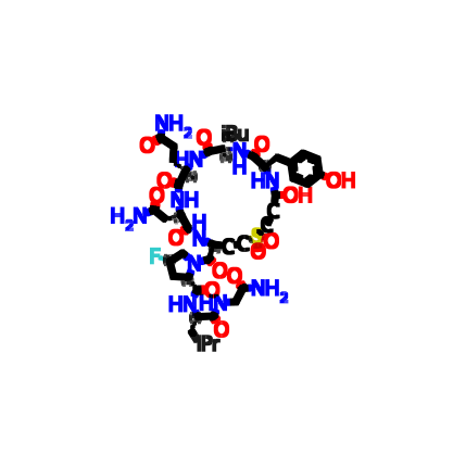 CC[C@H](C)[C@@H]1NC(=O)[C@@H](Cc2ccc(O)cc2)NC(O)CCS(=O)(=O)CC[C@@H](C(=O)N2C[C@@H](F)C[C@H]2C(=O)N[C@@H](CC(C)C)C(=O)NCC(N)=O)NC(=O)[C@H](CC(N)=O)NC(=O)[C@H](CCC(N)=O)NC1=O